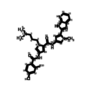 CN(C)CCCn1cc(NC(=O)c2ccc(Cl)cc2F)cc1C(=O)Nc1cc(-c2nc3cccnc3[nH]2)n(C)c1